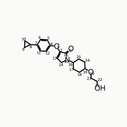 O=C1C(Oc2ccc(C3CC3)cc2)=CCN1C1CCC(OCCO)CC1